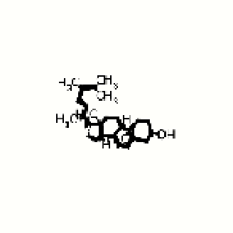 CC(C)=C(C)C=C[C@@H](C)[C@H]1CC[C@H]2C3=CC=C4C[C@@H](O)CC[C@]4(C)[C@H]3CC[C@]12C